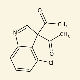 CC(=O)C1(C(C)=O)C=Nc2cccc(Cl)c21